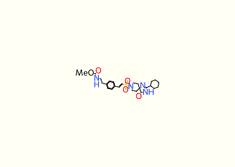 COC(=O)NCCc1ccc(C=CS(=O)(=O)N2CCC3(CC2)N=C(C2CCCCC2)NC3=O)cc1